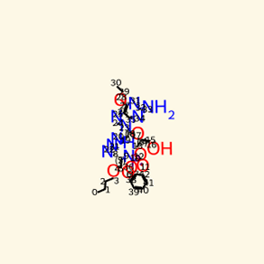 CCCCOC(=O)[C@H](C)NP(=O)(OC[C@H](CO)O[C@H](CN=[N+]=[N-])n1cnc2c(OCC)nc(N)nc21)Oc1ccccc1